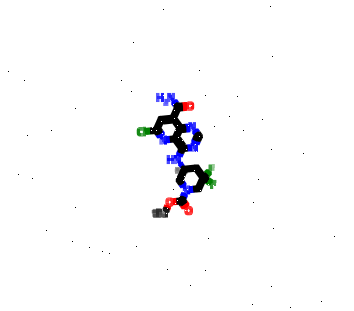 CC(C)(C)OC(=O)N1C[C@@H](Nc2ncnc3c(C(N)=O)cc(Cl)nc23)CC(F)(F)C1